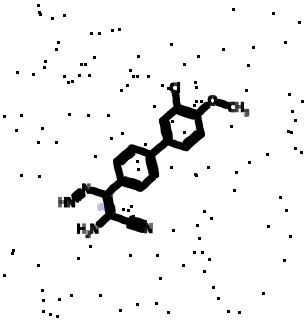 COc1ccc(-c2ccc(/C(N=N)=C(/N)C#N)cc2)cc1Cl